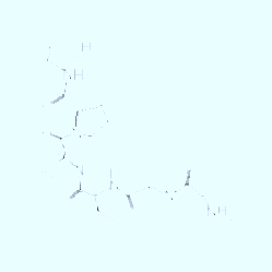 CC[C@H](C)[C@H](NC(=O)[C@H](CS)NC(=O)CNC(=O)[C@H](C)N)C(=O)N1CCC[C@H]1C(=O)NCC(=O)O